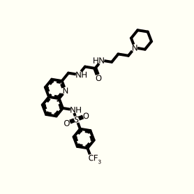 O=C(CNCc1ccc2cccc(NS(=O)(=O)c3ccc(C(F)(F)F)cc3)c2n1)NCCCN1CCCCC1